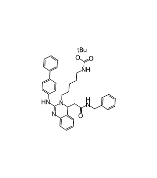 CC(C)(C)OC(=O)NCCCCCN1C(Nc2ccc(-c3ccccc3)cc2)=Nc2ccccc2C1CC(=O)NCc1ccccc1